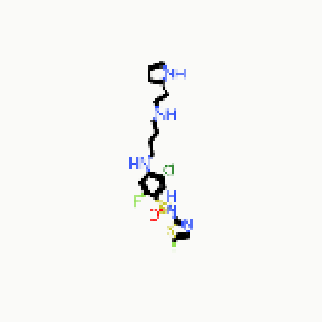 [O-][S+](Nc1ncc(F)s1)c1cc(Cl)c(NCCCCNCC[C@H]2CCCN2)cc1F